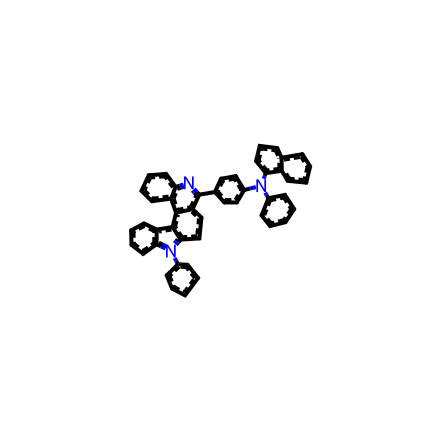 c1ccc(N(c2ccc(-c3nc4ccccc4c4c3ccc3c4c4ccccc4n3-c3ccccc3)cc2)c2cccc3ccccc23)cc1